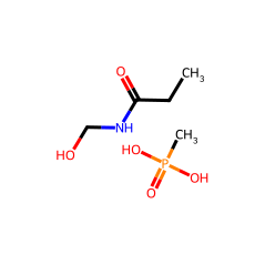 CCC(=O)NCO.CP(=O)(O)O